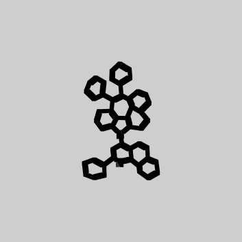 c1ccc(C2=C(c3ccccc3)c3cccc4c3c3c5c2cccc5ccc3n4-c2cc(-c3ccccc3)nc3c2ccc2ccccc23)cc1